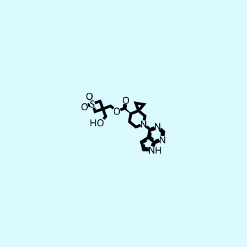 O=C(OCC1(CO)CS(=O)(=O)C1)[C@@H]1CCN(c2ncnc3[nH]ccc23)CC12CC2